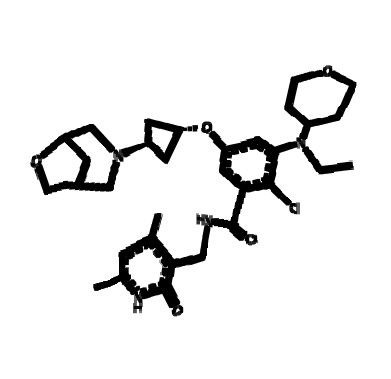 CCN(c1cc(O[C@H]2C[C@H](N3CC4COC(C4)C3)C2)cc(C(=O)NCc2c(C)cc(C)[nH]c2=O)c1Cl)C1CCOCC1